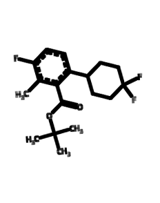 Cc1c(F)ccc(C2CCC(F)(F)CC2)c1C(=O)OC(C)(C)C